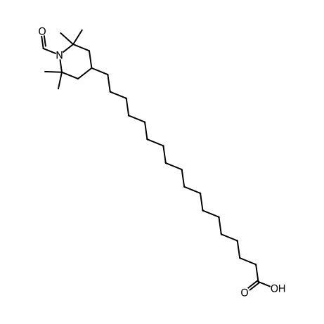 CC1(C)CC(CCCCCCCCCCCCCCCCCC(=O)O)CC(C)(C)N1C=O